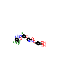 O=C(Nc1ccc(Cl)c(C(F)(F)F)c1)Nc1ccc(Oc2ccnc(C(=O)NOCc3ccc(B(O)O)cc3)c2)cc1F